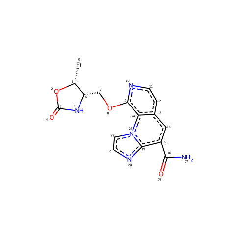 CC[C@H]1OC(=O)N[C@H]1COc1nccc2cc(C(N)=O)c3nccn3c12